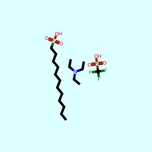 CCCCCCCCCCCCS(=O)(=O)O.CCN(CC)CC.O=S(=O)(O)C(F)(F)F